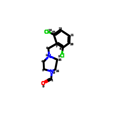 O=CN1CCN(Cc2c(Cl)cccc2Cl)CC1